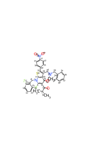 CC(C)C(=O)c1cn(Cc2c(F)cccc2F)c2sc(-c3ccc([N+](=O)[O-])cc3)c(CN(C)Cc3ccccc3)c2c1=O